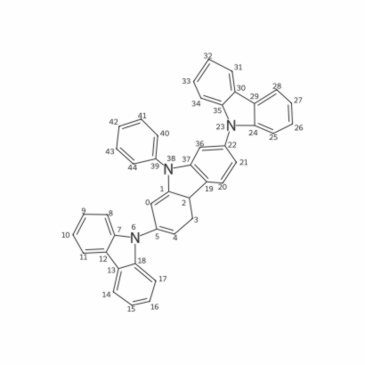 C1=C2C(CC=C1n1c3ccccc3c3ccccc31)c1ccc(-n3c4ccccc4c4ccccc43)cc1N2c1ccccc1